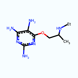 CCNC(C)COc1nc(N)nc(N)c1N